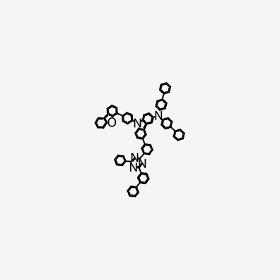 c1ccc(-c2ccc(N(c3ccc(-c4ccccc4)cc3)c3ccc4c(c3)c3cc(-c5cccc(-c6nc(-c7ccccc7)nc(-c7cccc(-c8ccccc8)c7)n6)c5)ccc3n4-c3ccc(-c4cccc5c4oc4ccccc45)cc3)cc2)cc1